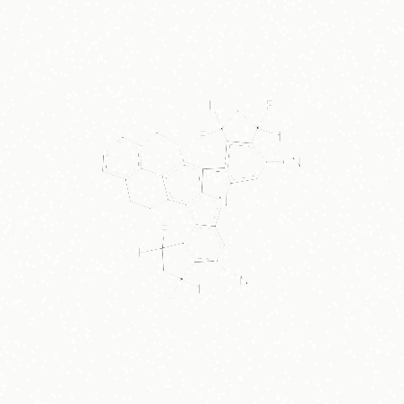 N#Cc1cc2c(c3c1C(F)(F)CC3(F)F)c1c3c4c(c5c6c7c(c(C#N)cc6n2c15)C(F)(F)CC7(F)F)CCc1cccc(c1-4)CC3